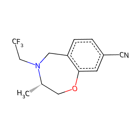 C[C@H]1COc2cc(C#N)ccc2CN1CC(F)(F)F